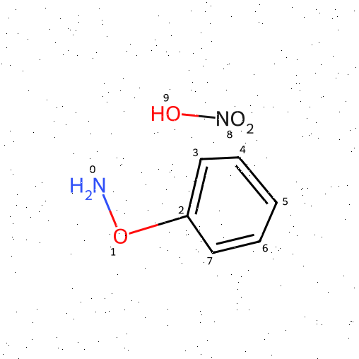 NOc1ccccc1.O=[N+]([O-])O